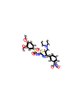 CCN(CC)Cc1sc(NS(=O)(=O)c2ccc(OC)c(OC)c2)nc1-c1cccc([N+](=O)[O-])c1